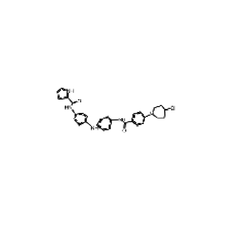 O=C(Nc1ccc(Nc2ccc(NC(=O)c3ccc[nH]3)cc2)cc1)c1ccc(N2CCC(O)CC2)cc1